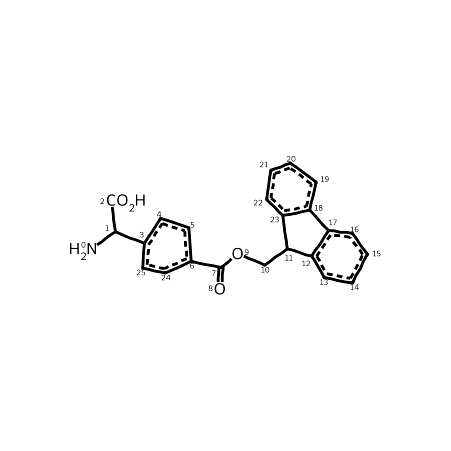 NC(C(=O)O)c1ccc(C(=O)OCC2c3ccccc3-c3ccccc32)cc1